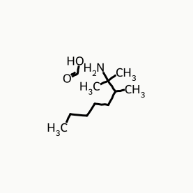 CCCCCC(C)C(C)(C)N.O=CO